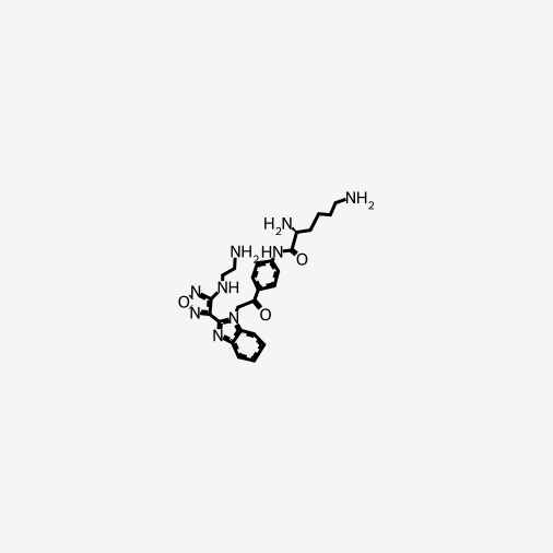 NCCCC[C@H](N)C(=O)Nc1ccc(C(=O)Cn2c(-c3nonc3NCCN)nc3ccccc32)cc1